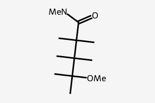 CNC(=O)C(C)(C)C(C)(C)C(C)(C)OC